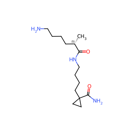 C[C@@H](CCCCN)C(=O)NCCCCC1(C(N)=O)CC1